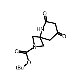 CC(C)(C)OC(=O)N1CC2(CC(=O)CC(=O)N2)C1